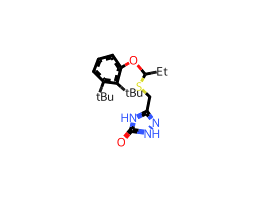 CCC(Oc1cccc(C(C)(C)C)c1C(C)(C)C)SCc1n[nH]c(=O)[nH]1